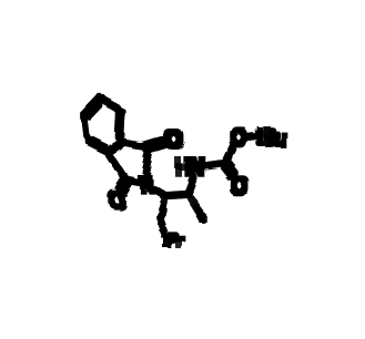 CC(C)C[C@H]([C@H](C)NC(=O)OC(C)(C)C)N1C(=O)c2ccccc2C1=O